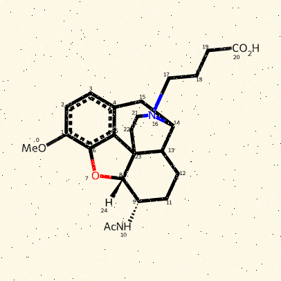 COc1ccc2c3c1O[C@H]1[C@@H](NC(C)=O)CCC4C(C2)N(CCCC(=O)O)CCC341